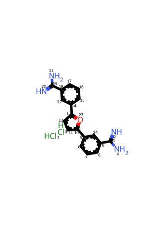 Cl.Cl.N=C(N)c1cccc(-c2ccc(-c3cccc(C(=N)N)c3)o2)c1